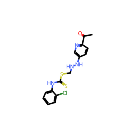 CC(=O)c1ccc(NNCSC(=S)Nc2ccccc2Cl)cn1